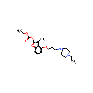 CCOC(=O)Oc1oc2cccc(OCCCNC3CCN(CC)CC3)c2c1C